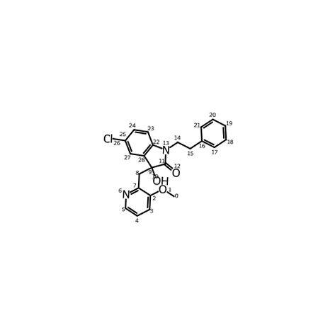 COc1cccnc1CC1(O)C(=O)N(CCc2ccccc2)c2ccc(Cl)cc21